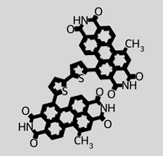 Cc1cc2c3c(ccc4c5c(-c6ccc(-c7ccc(-c8cc9c%10c(cc(C)c%11c%12ccc%13c%14c(ccc(c8c%10%11)c%14%12)C(=O)NC%13=O)C(=O)NC9=O)s7)s6)cc6c7c(ccc(c1c34)c75)C(=O)NC6=O)C(=O)NC2=O